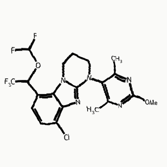 COc1nc(C)c(N2CCCn3c2nc2c(Cl)ccc(C(OC(F)F)C(F)(F)F)c23)c(C)n1